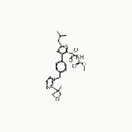 COC(=O)NS(=O)(=O)c1sc(CC(C)C)cc1-c1ccc(Cn2ccnc2C2(C)COC2)cc1